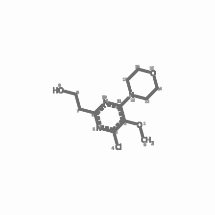 COc1c(Cl)nc(CCO)nc1N1CCOCC1